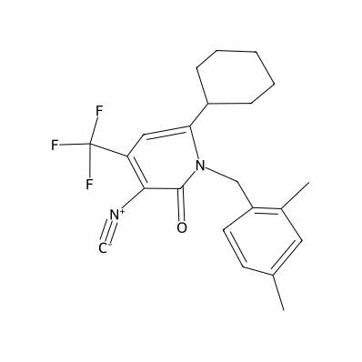 [C-]#[N+]c1c(C(F)(F)F)cc(C2CCCCC2)n(Cc2ccc(C)cc2C)c1=O